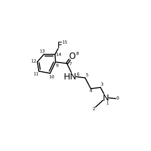 CN(C)CCCNC(=O)c1ccccc1F